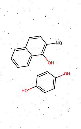 O=Nc1ccc2ccccc2c1O.Oc1ccc(O)cc1